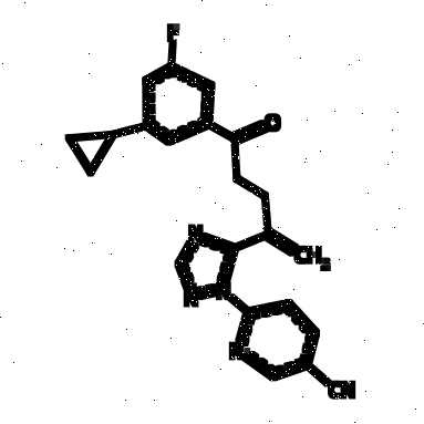 C=C(CCC(=O)c1cc(F)cc(C2CC2)c1)c1ncnn1-c1ccc(C#N)cn1